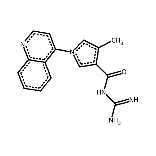 Cc1cn(-c2ccnc3ccccc23)cc1C(=O)NC(=N)N